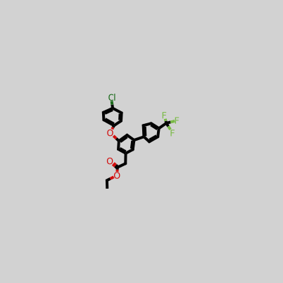 CCOC(=O)Cc1cc(Oc2ccc(Cl)cc2)cc(-c2ccc(C(F)(F)F)cc2)c1